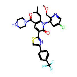 COCc1ncc(Cl)cc1-n1c(C=C(C)C)c(C(=O)N2CCNCC2)cc(-c2nc(-c3ccc(C(F)(F)F)cc3)cs2)c1=O